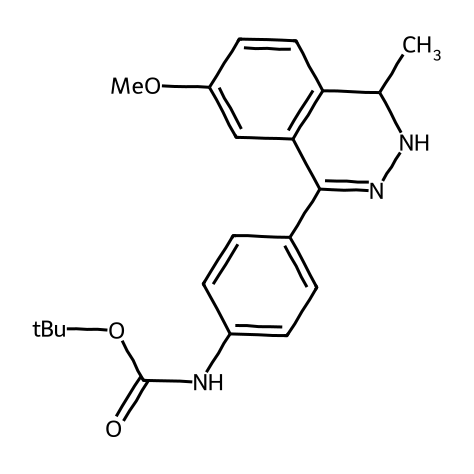 COc1ccc2c(c1)C(c1ccc(NC(=O)OC(C)(C)C)cc1)=NNC2C